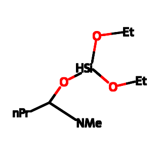 CCCC(NC)O[SiH](OCC)OCC